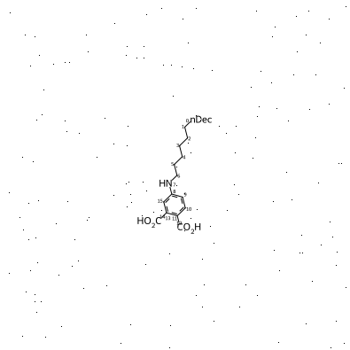 CCCCCCCCCCCCCCCCNc1ccc(C(=O)O)c(C(=O)O)c1